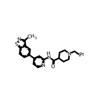 Cc1nsc2ccc(-c3ccnc(NC(=O)C4CCN(CC(C)C)CC4)c3)cc12